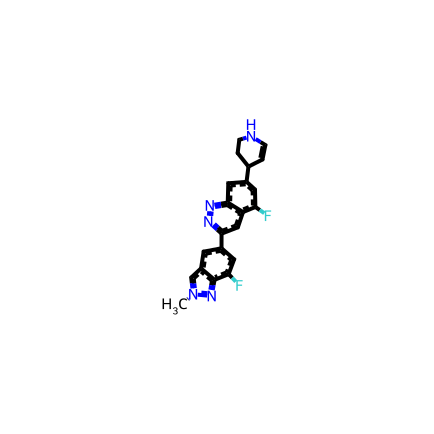 Cn1cc2cc(-c3cc4c(F)cc(C5C=CNCC5)cc4nn3)cc(F)c2n1